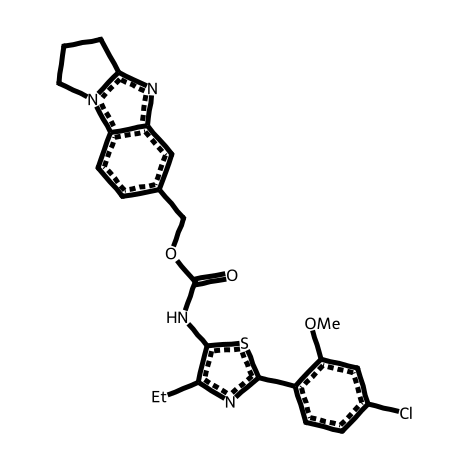 CCc1nc(-c2ccc(Cl)cc2OC)sc1NC(=O)OCc1ccc2c(c1)nc1n2CCC1